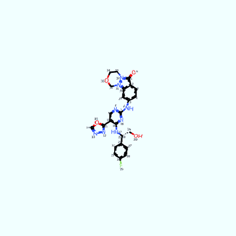 O=c1c2ccc(Nc3ncc(-c4nnco4)c(N[C@H](CO)c4ccc(F)cc4)n3)cc2n2n1CCOC2